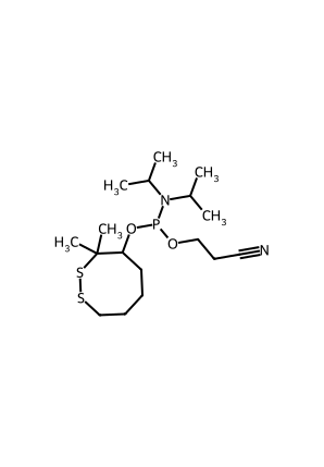 CC(C)N(C(C)C)P(OCCC#N)OC1CCCCSSC1(C)C